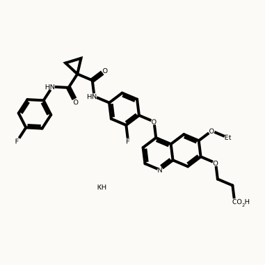 CCOc1cc2c(Oc3ccc(NC(=O)C4(C(=O)Nc5ccc(F)cc5)CC4)cc3F)ccnc2cc1OCCC(=O)O.[KH]